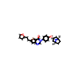 CN1[C@@H]2CC[C@H]1C[C@H](Oc1ccc(-n3cnc4cc(CCC5CCCO5)sc4c3=O)cc1)C2